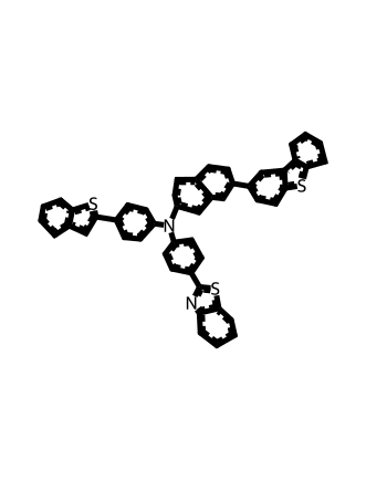 c1ccc2sc(-c3ccc(N(c4ccc(-c5nc6ccccc6s5)cc4)c4ccc5ccc(-c6ccc7sc8ccccc8c7c6)cc5c4)cc3)cc2c1